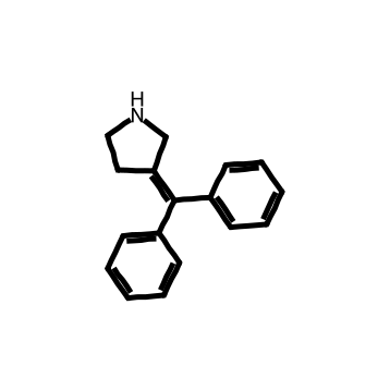 c1ccc(C(=C2CCNC2)c2ccccc2)cc1